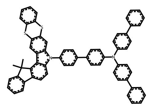 CC1(C)c2ccccc2-c2ccc3c(c21)c1cc2c(cc1n3-c1ccc(-c3ccc(N(c4ccc(-c5ccccc5)cc4)c4ccc(-c5ccccc5)cc4)cc3)cc1)Sc1ccccc1S2